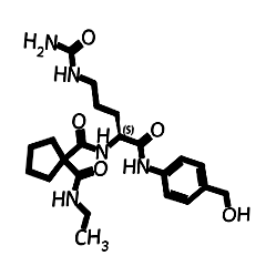 CCNC(=O)C1(C(=O)N[C@@H](CCCNC(N)=O)C(=O)Nc2ccc(CO)cc2)CCCC1